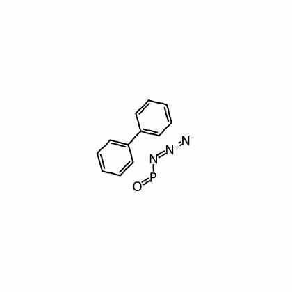 [N-]=[N+]=NP=O.c1ccc(-c2ccccc2)cc1